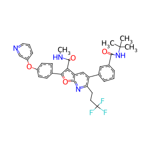 CNC(=O)c1c(-c2ccc(Oc3cccnc3)cc2)oc2nc(CCC(F)(F)F)c(-c3cccc(C(=O)NC(C)(C)C)c3)cc12